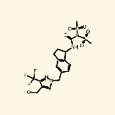 CS(=O)(=O)N(C(=O)NC1CCc2cc(Cn3cc(CO)c(C(F)(F)F)n3)ccc21)S(C)(=O)=O